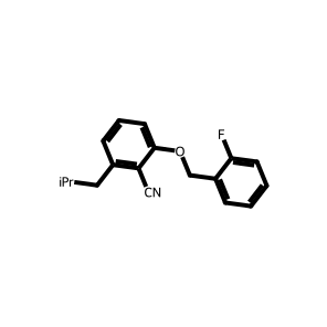 CC(C)Cc1cccc(OCc2ccccc2F)c1C#N